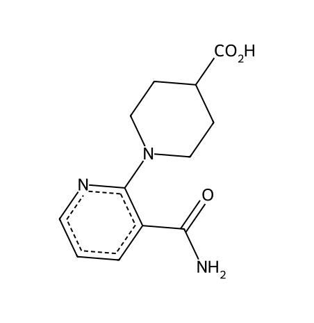 NC(=O)c1cccnc1N1CCC(C(=O)O)CC1